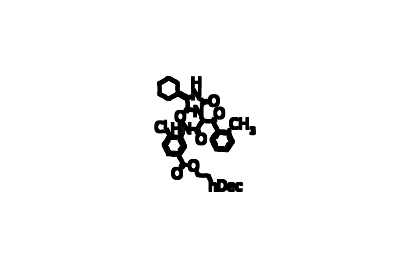 CCCCCCCCCCCCOC(=O)c1ccc(Cl)c(NC(=O)C(C(=O)c2ccccc2C)N2C(=O)NC(=C3CCCCC3)C2=O)c1